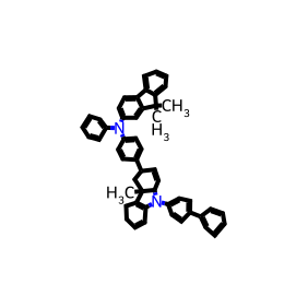 CC1(C)c2ccccc2-c2ccc(N(c3ccccc3)c3ccc(C4C=CC5N(c6ccc(-c7ccccc7)cc6)C6=C(CCC=C6)C5(C)C4)cc3)cc21